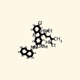 CCNC(C)CCC(NCC)c1c2cc(Cl)ccc2nc2cc(N=Nc3cccc4ccccc34)c(OC)cc12